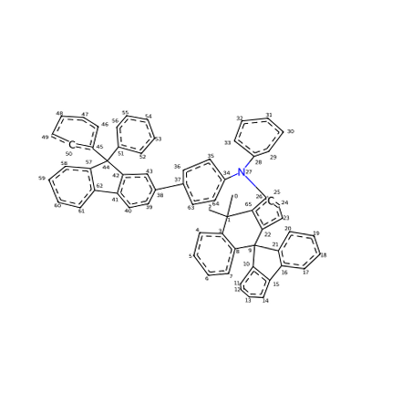 CC1(C)c2ccccc2C2(c3ccccc3-c3ccccc32)c2cccc(N(c3ccccc3)c3ccc(-c4ccc5c(c4)C(c4ccccc4)(c4ccccc4)c4ccccc4-5)cc3)c21